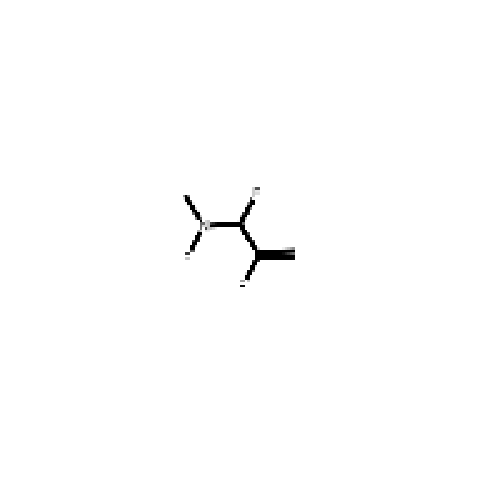 C=C(F)C(F)N(C)F